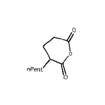 CCCCCC1CCC(=O)OC1=O